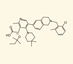 CCC(C)(C)O[C@H](C(=O)O)c1c(C)ncc(-c2ccc3c(c2)CCN(Cc2c(C)cccc2Cl)C3)c1N1CCC(C)(C)CC1